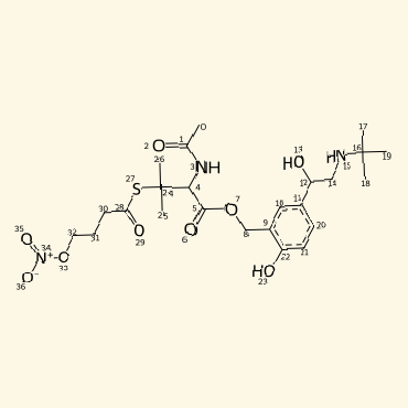 CC(=O)NC(C(=O)OCc1cc(C(O)CNC(C)(C)C)ccc1O)C(C)(C)SC(=O)CCCO[N+](=O)[O-]